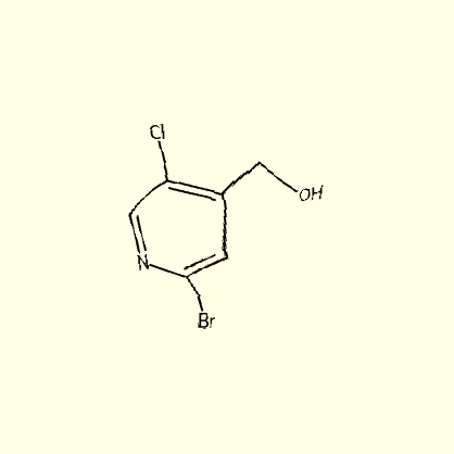 OCc1cc(Br)ncc1Cl